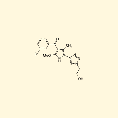 COc1[nH]c(-c2nnn(CCO)n2)c(C)c1C(=O)c1cccc(Br)c1